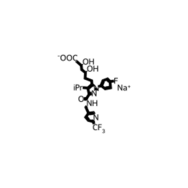 CC(C)c1c(C(=O)NCc2ccc(C(F)(F)F)nc2)nn(-c2ccc(F)cc2)c1CC[C@@H](O)C[C@@H](O)CC(=O)[O-].[Na+]